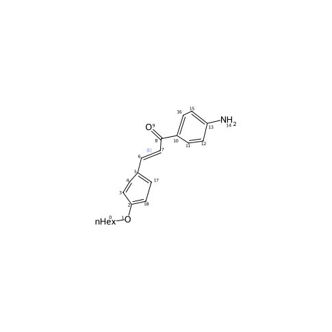 CCCCCCOc1ccc(/C=C/C(=O)c2ccc(N)cc2)cc1